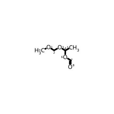 COCOC(C)O[C]=O